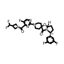 O=C(c1nc(N2CCC3(CC2)O[C@@H]2CC[C@@H](c4cc(F)cc(F)c4)N2C3=O)ncc1F)N1CC(C(F)F)C1